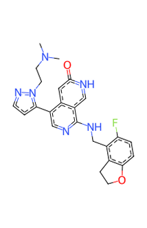 CN(C)CCn1nccc1-c1cnc(NCc2c(F)ccc3c2CCO3)c2c[nH]c(=O)cc12